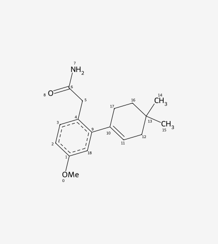 COc1ccc(CC(N)=O)c(C2=CCC(C)(C)CC2)c1